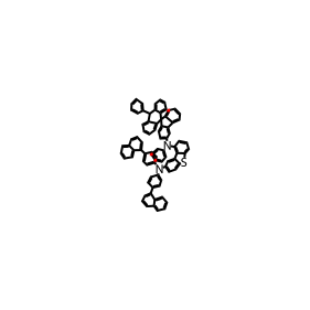 c1ccc(C2c3ccccc3C3(c4ccccc4-c4cc(N(c5ccccc5)c5cccc6sc7ccc(N(c8ccc(-c9cccc%10ccccc9%10)cc8)c8ccc(-c9cccc%10ccccc9%10)cc8)cc7c56)ccc43)c3ccccc32)cc1